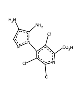 Nc1cnn(-c2c(Cl)c(Cl)nc(C(=O)O)c2Cl)c1N